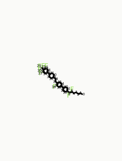 C/C=C/CC/C(F)=C(\F)c1ccc(-c2ccc(CCC3CCC(c4cc(F)c(C(F)(F)F)c(F)c4)CC3)c(F)c2)cc1